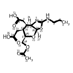 CCCNC1=N[C@@H]2[C@H](CC(=O)O)[C@H](CC(=O)O)[C@H](COC(C)=O)O[C@@H]2S1